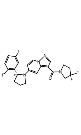 O=C(c1cnn2ccc(N3CCC[C@@H]3c3cc(F)ccc3F)cc12)N1CCC(F)(F)C1